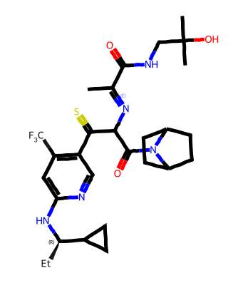 CC[C@@H](Nc1cc(C(F)(F)F)c(C(=S)C(/N=C(\C)C(=O)NCC(C)(C)O)C(=O)N2C3CCC2CC3)cn1)C1CC1